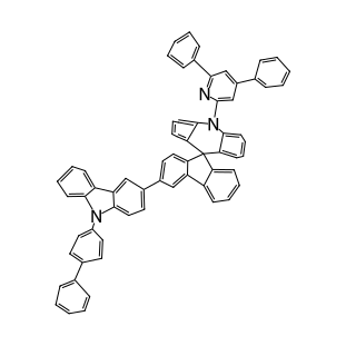 c1ccc(-c2ccc(-n3c4ccccc4c4cc(-c5ccc6c(c5)-c5ccccc5C65c6ccccc6N(c6cc(-c7ccccc7)cc(-c7ccccc7)n6)c6ccccc65)ccc43)cc2)cc1